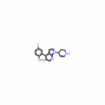 COc1ccc(F)cc1-c1ccnc2c1ccn2C1C=CNCC1